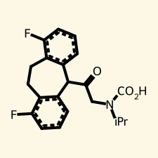 CC(C)N(CC(=O)C1c2cccc(F)c2CCc2c(F)cccc21)C(=O)O